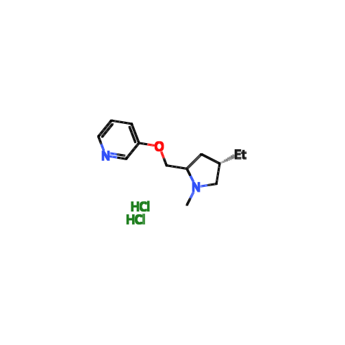 CC[C@H]1CC(COc2cccnc2)N(C)C1.Cl.Cl